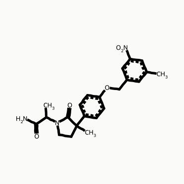 Cc1cc(COc2ccc(C3(C)CCN(C(C)C(N)=O)C3=O)cc2)cc([N+](=O)[O-])c1